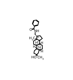 C[C@@]1(O)CC[C@H]2[C@H](CC[C@@H]3[C@@H]2CC[C@]2(C)[C@@H](CNC(=O)c4ccccc4)CC[C@@H]32)C1